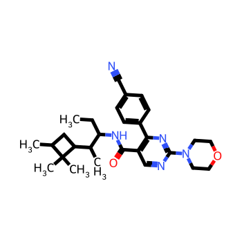 CCC(NC(=O)c1cnc(N2CCOCC2)nc1-c1ccc(C#N)cc1)C(C)C1CC(C)C1(C)C